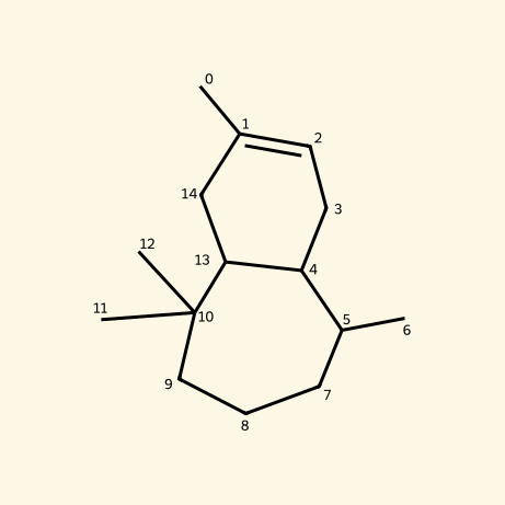 CC1=CCC2C(C)CCCC(C)(C)C2C1